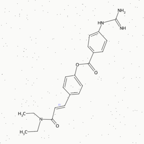 CCN(CC)C(=O)/C=C/c1ccc(OC(=O)c2ccc(NC(=N)N)cc2)cc1